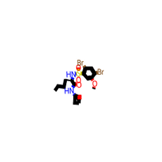 CCCC[C@@H](NS(=O)(=O)c1cc(OC)c(Br)cc1Br)C(=O)NC12CC(C1)C2